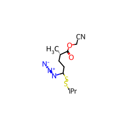 CC(C)SSC(CC[C@H](C)C(=O)OCC#N)N=[N+]=[N-]